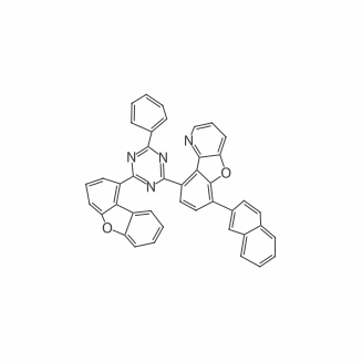 c1ccc(-c2nc(-c3cccc4oc5ccccc5c34)nc(-c3ccc(-c4ccc5ccccc5c4)c4oc5cccnc5c34)n2)cc1